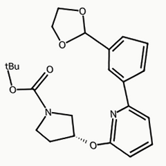 CC(C)(C)OC(=O)N1CC[C@@H](Oc2cccc(-c3cccc(C4OCCO4)c3)n2)C1